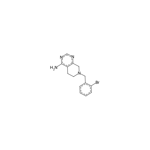 Nc1ncnc2c1CCN(Cc1ccccc1Br)C2